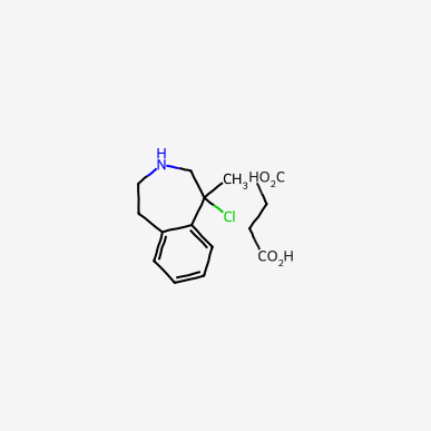 CC1(Cl)CNCCc2ccccc21.O=C(O)CCC(=O)O